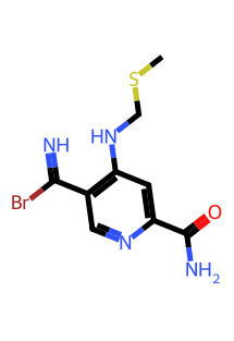 CSCNc1cc(C(N)=O)ncc1C(=N)Br